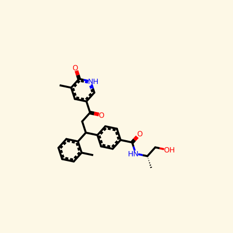 Cc1ccccc1C(CC(=O)c1c[nH]c(=O)c(C)c1)c1ccc(C(=O)N[C@@H](C)CO)cc1